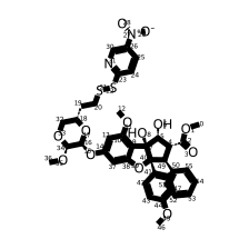 COC(=O)[C@H]1[C@@H](O)[C@@]2(O)c3c(OC)cc(O[C@@H]4O[C@@H](CCSSc5ccc([N+](=O)[O-])cn5)CO[C@H]4OC)cc3O[C@@]2(c2ccc(OC)cc2)[C@@H]1c1ccccc1